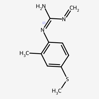 C=N/C(N)=N\c1ccc(SC)cc1C